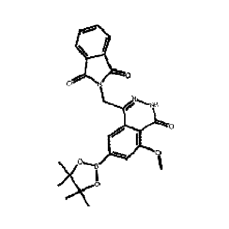 COc1cc(B2OC(C)(C)C(C)(C)O2)cc2c(CN3C(=O)c4ccccc4C3=O)n[nH]c(=O)c12